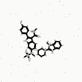 CNC(=O)c1c(-c2ccc(F)cc2)oc2cc(N(C)S(C)(=O)=O)c([C@H]3CCCN(c4nc5ccccc5n4C)C3)cc12